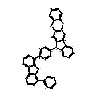 c1ccc(-c2cccc3c2sc2c(-c4ccc(-n5c6ccccc6c6cc7c(cc65)Oc5ccccc5O7)cc4)cccc23)cc1